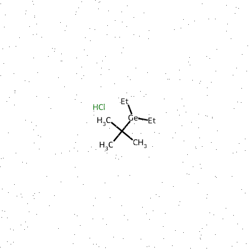 C[CH2][Ge]([CH2]C)[C](C)(C)C.Cl